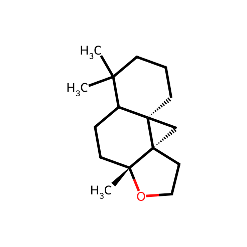 CC1(C)CCC[C@]23C[C@@]24CCO[C@]4(C)CCC13